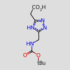 CC(C)(C)OC(=O)NCc1nnc(CC(=O)O)[nH]1